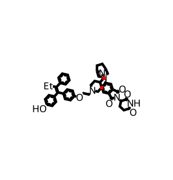 CCC(=C(c1ccc(O)cc1)c1ccc(OCCN2CCC(CN3C4CCC3CN(c3ccc5c(c3)C(=O)N(C3CCC(=O)NC3=O)C5=O)C4)CC2)cc1)c1ccccc1